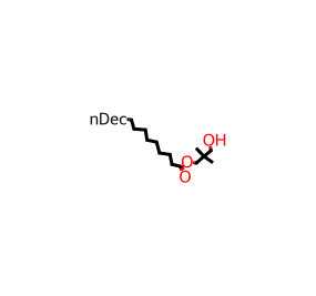 CCCCCCCCCCCCCCCCCCC(=O)OCC(C)(C)CO